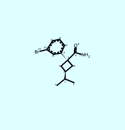 CC(C)[C@H]1C[C@](C(N)=O)(c2cccc(Br)c2)C1